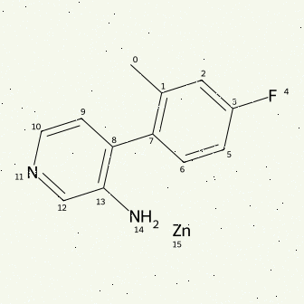 Cc1cc(F)ccc1-c1ccncc1N.[Zn]